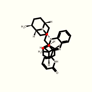 C[C@H]1CC[C@@H]2C[C@H](n3c(=O)c(-c4cccc(=O)[nH]4)nc4ccccc43)C[C@H]1N2CC[C@@H]1CC[C@H]2C[C@@H]1C2(C)C